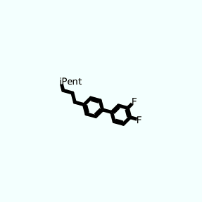 CCCC(C)CCCc1ccc(-c2ccc(F)c(F)c2)cc1